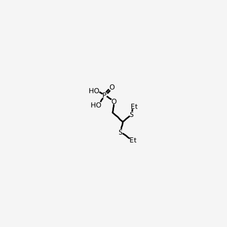 CCSC(COP(=O)(O)O)SCC